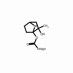 CCCCCCCC(=O)OC12CCC(CC1(C)O)N2